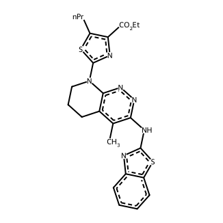 CCCc1sc(N2CCCc3c2nnc(Nc2nc4ccccc4s2)c3C)nc1C(=O)OCC